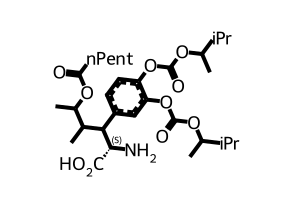 CCCCCC(=O)OC(C)C(C)C(c1ccc(OC(=O)OC(C)C(C)C)c(OC(=O)OC(C)C(C)C)c1)[C@H](N)C(=O)O